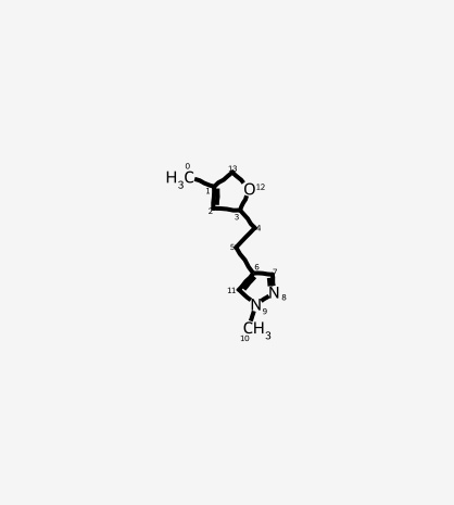 CC1=CC(CCc2cnn(C)c2)OC1